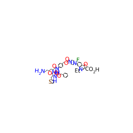 CCn1cc(C(=O)O)c(=O)c2cc(F)c(N3CCN(C(=O)OCc4ccc(NC(=O)C(CCCCN)NC(=O)C(Cc5cccs5)NC(=O)OCc5ccccc5)cc4)CC3)cc21